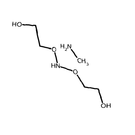 CN.OCCONOCCO